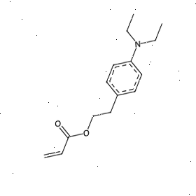 C=CC(=O)OCCc1ccc(N(CC)CC)cc1